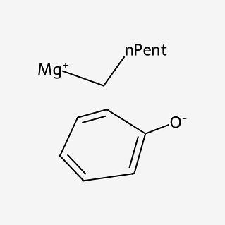 CCCCC[CH2][Mg+].[O-]c1ccccc1